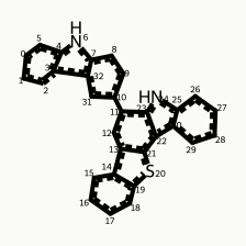 c1ccc2c(c1)[nH]c1ccc(-c3cc4c5ccccc5sc4c4c3[nH]c3ccccc34)cc12